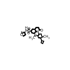 COC1=C(n2c(=O)ccc3cc(S(=O)(=O)Nc4ccon4)ccc32)CC(C)C(C2CCC2)=C1